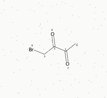 [CH2]C(=O)C(=O)CBr